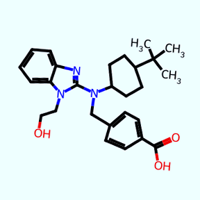 CC(C)(C)C1CCC(N(Cc2ccc(C(=O)O)cc2)c2nc3ccccc3n2CCO)CC1